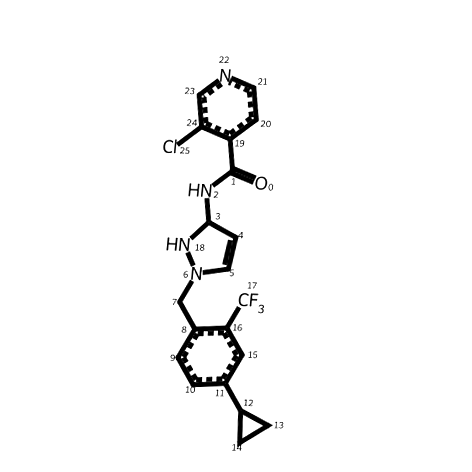 O=C(NC1C=CN(Cc2ccc(C3CC3)cc2C(F)(F)F)N1)c1ccncc1Cl